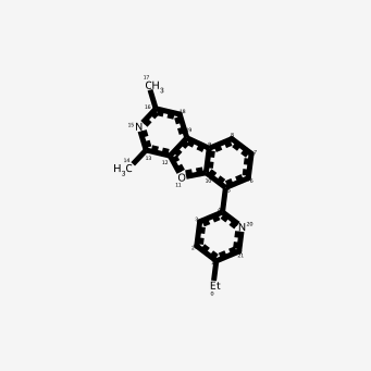 CCc1ccc(-c2cccc3c2oc2c(C)nc(C)cc23)nc1